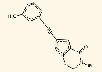 Cc1cccc(C#Cc2cc3n(c2)CCN(C(C)C)C3=O)c1